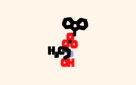 C[C@@H](/C=C\CO)OC(=O)OCC1c2ccccc2-c2ccccc21